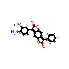 CCCc1cc(C2=c3cc4c(cc3OC2=O)=C(c2ccccc2)C(=O)O4)ccc1N